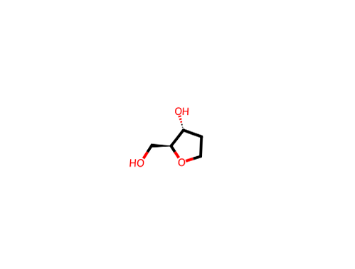 OC[C@@H]1OCC[C@H]1O